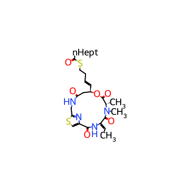 C/C=C1\NC(=O)c2csc(n2)CNC(=O)C[C@@H](/C=C/CCSC(=O)CCCCCCC)OC(=O)[C@H](C)N(C)C1=O